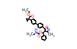 CCNC(=O)O[C@@H](c1ccccc1)c1c(C)noc1-c1ccc(-c2ccc(C3(C(=O)OCC)CC3)cc2)cc1